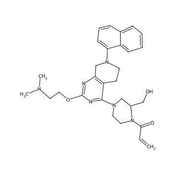 C=CC(=O)N1CCN(c2nc(OCCN(C)C)nc3c2CCN(c2cccc4ccccc24)C3)CC1CO